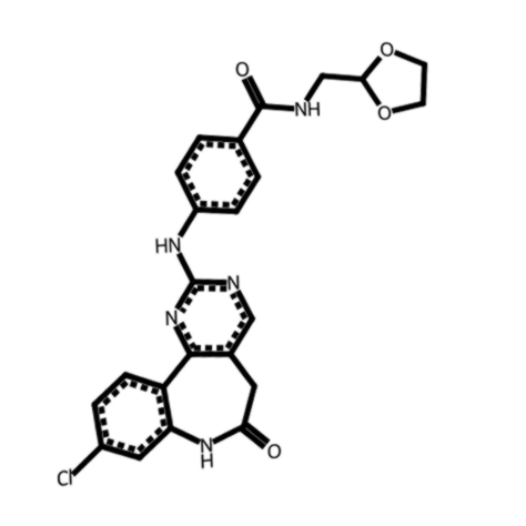 O=C1Cc2cnc(Nc3ccc(C(=O)NCC4OCCO4)cc3)nc2-c2ccc(Cl)cc2N1